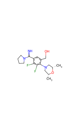 C[C@@H]1CN(c2c(CO)cc(C(=N)N3CCCC3)c(F)c2F)C[C@H](C)O1